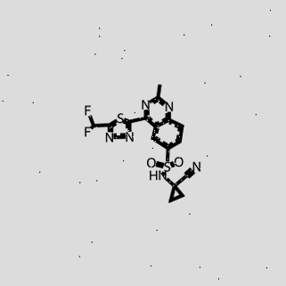 Cc1nc(-c2nnc(C(F)F)s2)c2cc(S(=O)(=O)NC3(C#N)CC3)ccc2n1